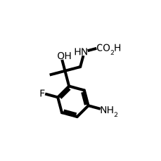 CC(O)(CNC(=O)O)c1cc(N)ccc1F